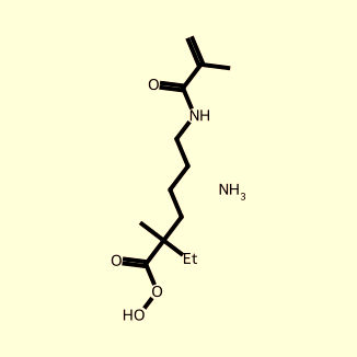 C=C(C)C(=O)NCCCCC(C)(CC)C(=O)OO.N